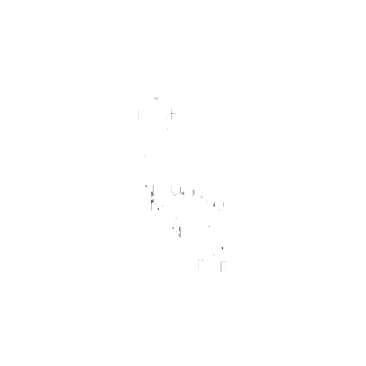 CCS(=O)(=O)c1cc(C(F)(F)F)cnc1-c1nnc(-c2ccc(C(F)(F)F)cc2)o1